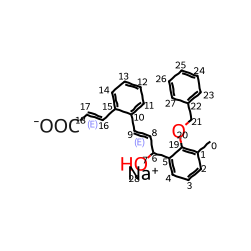 Cc1cccc(C(O)/C=C/c2ccccc2/C=C/C(=O)[O-])c1OCc1ccccc1.[Na+]